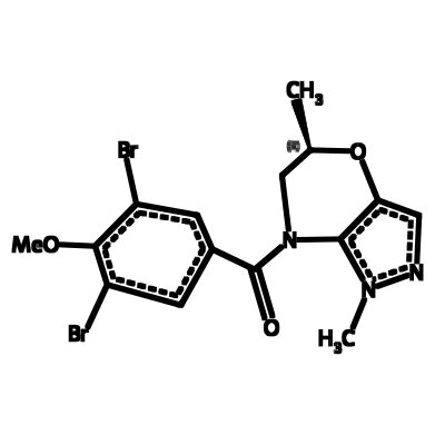 COc1c(Br)cc(C(=O)N2C[C@@H](C)Oc3cnn(C)c32)cc1Br